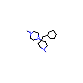 CN1CCN(C2(CC3CCCCC3)CCN(C)CC2)CC1